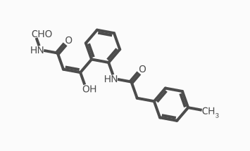 Cc1ccc(CC(=O)Nc2ccccc2/C(O)=C\C(=O)NC=O)cc1